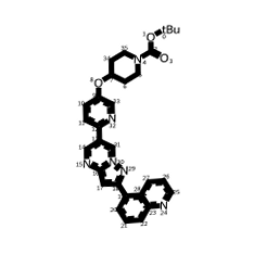 CC(C)(C)OC(=O)N1CCC(Oc2ccc(-c3cnc4cc(-c5cccc6ncccc56)nn4c3)nc2)CC1